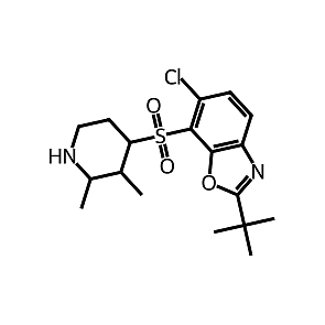 CC1NCCC(S(=O)(=O)c2c(Cl)ccc3nc(C(C)(C)C)oc23)C1C